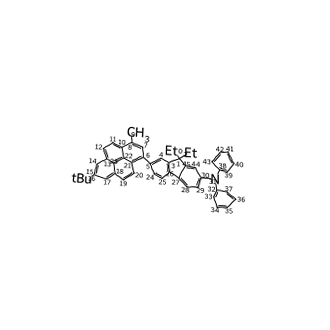 CCC1(CC)c2cc(-c3cc(C)c4ccc5cc(C(C)(C)C)cc6ccc3c4c56)ccc2-c2ccc(N(c3ccccc3)c3ccccc3)cc21